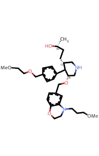 COCCCN1CCOc2ccc(CO[C@H]3CNC[C@@H](CC[C@@H](C)O)C3c3ccc(COCCOC)cc3)cc21